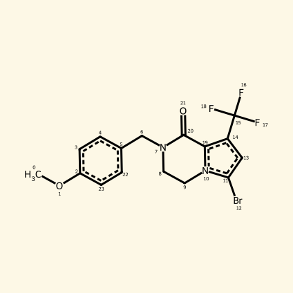 COc1ccc(CN2CCn3c(Br)cc(C(F)(F)F)c3C2=O)cc1